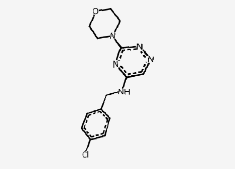 Clc1ccc(CNc2cnnc(N3CCOCC3)n2)cc1